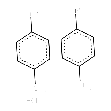 Cc1ccc(C(C)C)cc1.Cc1ccc(C(C)C)cc1.Cl